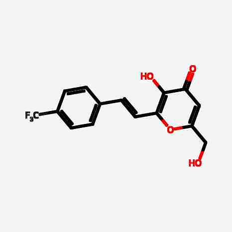 O=c1cc(CO)oc(C=Cc2ccc(C(F)(F)F)cc2)c1O